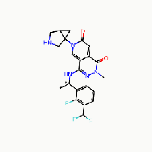 C[C@@H](Nc1nn(C)c(=O)c2cc(=O)n(C34CNCC3C4)cc12)c1cccc(C(F)F)c1F